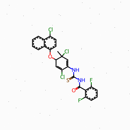 CC1(Cl)C=C(NC(=S)NC(=O)c2c(F)cccc2F)C(Cl)=CC1Oc1ccc(Cl)c2ccccc12